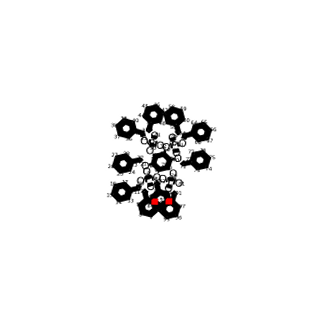 O=P(OCc1ccccc1)(OCc1ccccc1)O[C@@H]1[C@@H](OCc2ccccc2)[C@H](OP(=O)(OCc2ccccc2)OCc2ccccc2)[C@@H](OP(=O)(OCc2ccccc2)OCc2ccccc2)[C@@H](OCc2ccccc2)[C@H]1OP(=O)(OCc1ccccc1)OCc1ccccc1